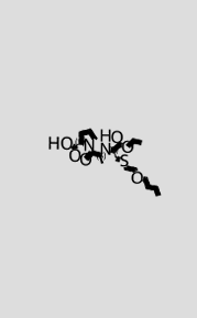 CCCCOCCSC[C@H](N[C@@H](C)C(=O)N1CCC[C@H]1C(=O)O)C(=O)OCC